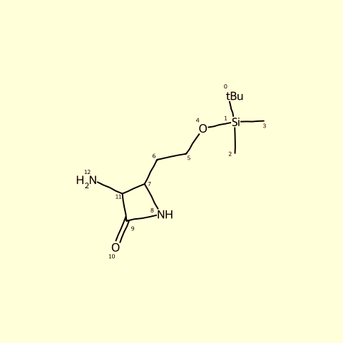 CC(C)(C)[Si](C)(C)OCCC1NC(=O)C1N